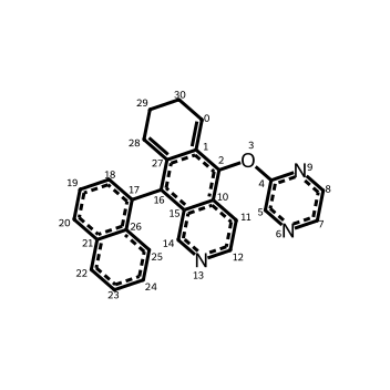 C1=c2c(Oc3cnccn3)c3ccncc3c(-c3cccc4ccccc34)c2=CCC1